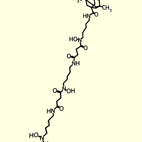 CC(=O)N(O)CCCCCNC(=O)CCC(=O)N(O)CCCCCNC(=O)CCC(=O)N(O)CCCCCNC(=O)C12CC3CC(C)(CC(C)(C3)C1)C2